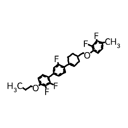 CCCOc1ccc(-c2ccc(C3=CCC(COc4ccc(C)c(F)c4F)CC3)c(F)c2)c(F)c1F